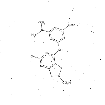 COc1cc(Nc2nc(Cl)nc3c2CN(C(=O)O)C3)cc(N(C)C)c1